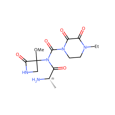 CCN1CCN(C(=O)N(C(=O)[C@H](C)N)C2(OC)CNC2=O)C(=O)C1=O